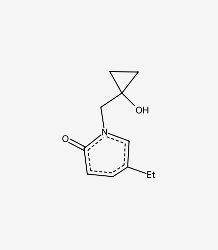 CCc1ccc(=O)n(CC2(O)CC2)c1